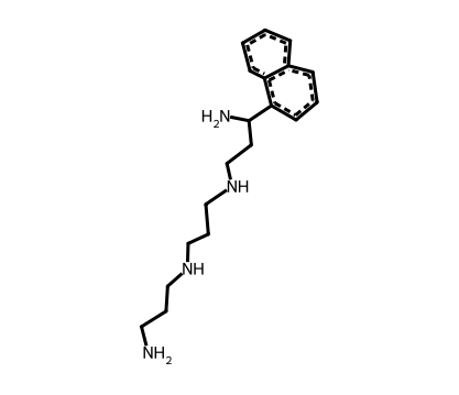 NCCCNCCCNCCC(N)c1cccc2ccccc12